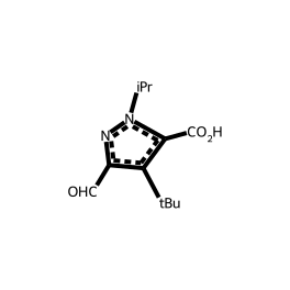 CC(C)n1nc(C=O)c(C(C)(C)C)c1C(=O)O